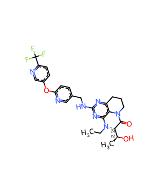 CCN1c2nc(NCc3ccc(Oc4ccc(C(F)(F)F)nc4)nc3)nc3c2N(CCC3)C(=O)[C@@H]1[C@H](C)O